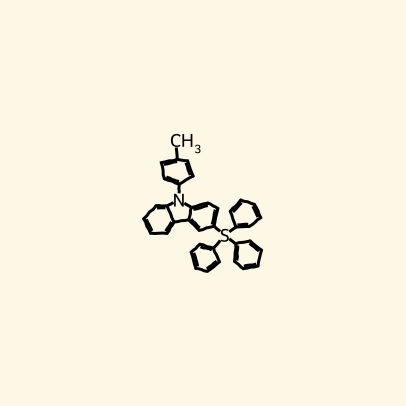 Cc1ccc(-n2c3ccccc3c3cc(S(c4ccccc4)(c4ccccc4)c4ccccc4)ccc32)cc1